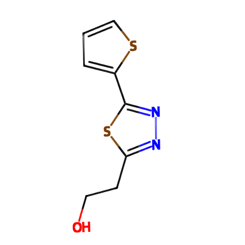 OCCc1nnc(-c2cccs2)s1